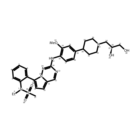 CCN(c1ccccc1-c1ccc2cnc(Nc3ccc(C4CCN(C[C@H](O)CO)CC4)cc3OC)nn12)S(C)(=O)=O